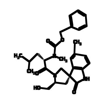 Cc1ccc2c(c1)[C@@]1(C[C@@H](CO)N(C(=O)[C@H](CC(C)C)N(C)C(=O)OCc3ccccc3)C1)C(=O)N2